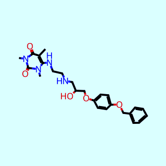 Cc1c(NCCNCC(O)COc2ccc(OCc3ccccc3)cc2)n(C)c(=O)n(C)c1=O